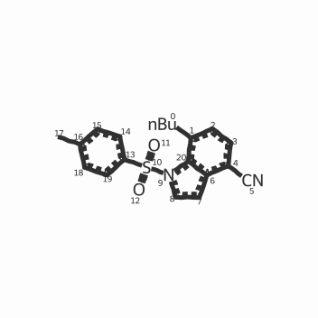 CCCCc1ccc(C#N)c2ccn(S(=O)(=O)c3ccc(C)cc3)c12